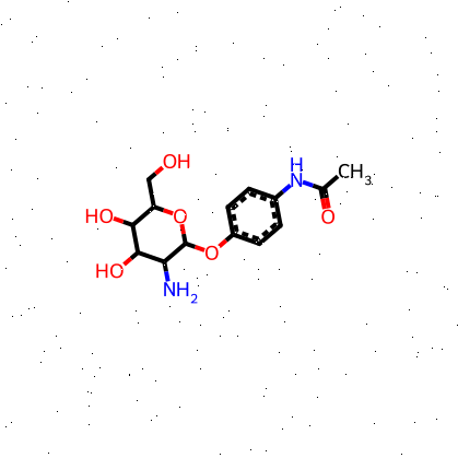 CC(=O)Nc1ccc(OC2OC(CO)C(O)C(O)C2N)cc1